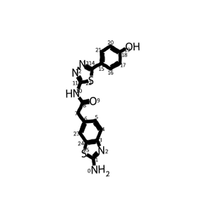 Nc1nc2ccc(CC(=O)Nc3nnc(-c4ccc(O)cc4)s3)cc2s1